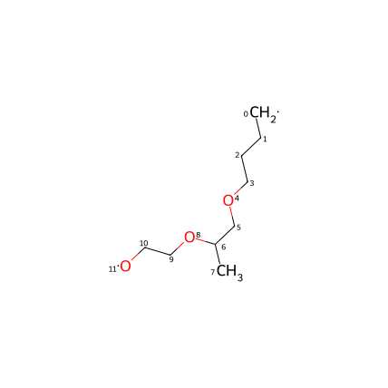 [CH2]CCCOCC(C)OCC[O]